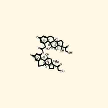 C[C@@]12C(=CC(=O)C=C1CC(=O)OC1=CC(=O)C=C3CC[C@@H]4[C@H]([C@@H](O)C[C@@]5(C)[C@H]4CC[C@]5(O)C(=O)CO)[C@]31C)CC[C@@H]1[C@@H]2[C@@H](O)C[C@@]2(C)[C@H]1CC[C@]2(O)C(=O)CO